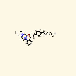 CN1CCN(c2ccccc2C(=O)C=Cc2ccc(C=CC(=O)O)cc2)CC1